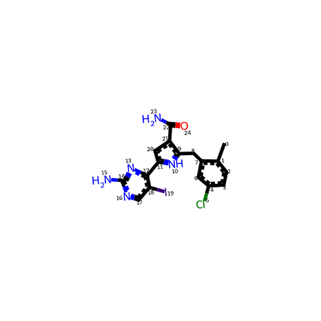 Cc1ccc(Cl)cc1Cc1[nH]c(-c2nc(N)ncc2I)cc1C(N)=O